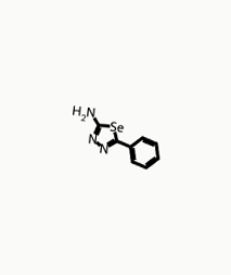 Nc1nnc(-c2ccccc2)[se]1